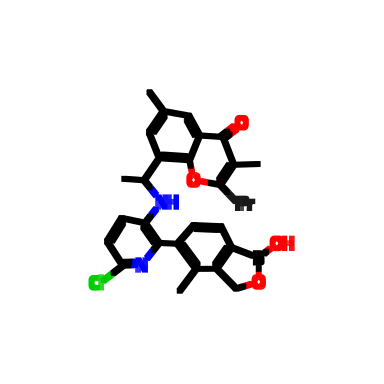 Cc1cc(C(C)Nc2ccc(Cl)nc2-c2ccc3c(c2C)COB3O)c2oc(C(C)C)c(C)c(=O)c2c1